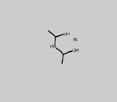 CC(O)NC(C)O.[Ni]